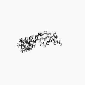 [2H]C1([2H])OC([2H])([2H])C([2H])([2H])N(C(=O)Nc2cc3cc(-c4cnc(C)n4C)ccc3nn2)C1([2H])[2H]